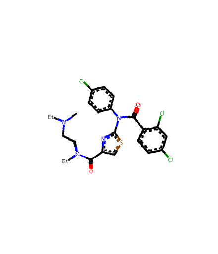 CCN(C)CCN(CC)C(=O)c1csc(N(C(=O)c2ccc(Cl)cc2Cl)c2ccc(Cl)cc2)n1